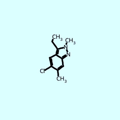 CCc1c2cc(Cl)c(C)cc2nn1C